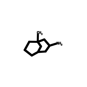 CC12CCCC(CC(N)C1)C2